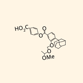 COC(C)OCOc1cc(C(=O)Oc2ccc(C(=O)O)cc2)ccc1C12CC3CC(CC(C3)C1)C2